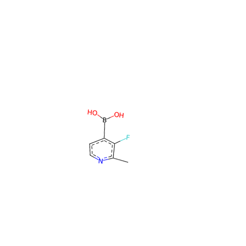 Cc1nccc(B(O)O)c1F